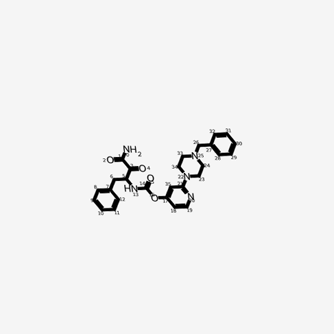 NC(=O)C(=O)C(Cc1ccccc1)NC(=O)Oc1ccnc(N2CCN(Cc3ccccc3)CC2)c1